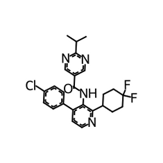 CC(C)c1ncc(C(=O)Nc2c(-c3ccc(Cl)cc3)ccnc2C2CCC(F)(F)CC2)cn1